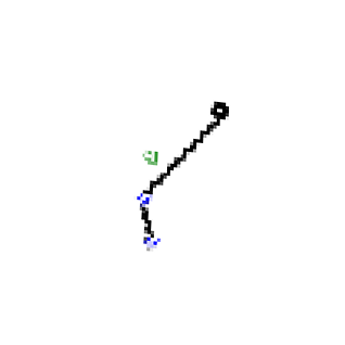 C[N+](C)(C)CCCCCC[N+](C)(C)CCCCCCCCCCCCCCCCCCc1ccccc1.[Cl-].[Cl-]